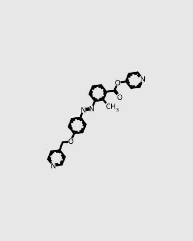 Cc1c(N=Nc2ccc(OCc3ccncc3)cc2)cccc1C(=O)Oc1ccncc1